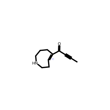 CC#CC(=O)/C1=C\CCNCCC1